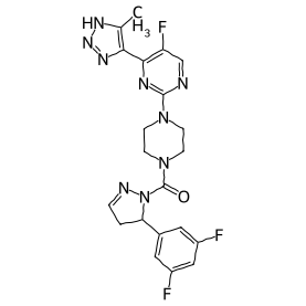 Cc1[nH]nnc1-c1nc(N2CCN(C(=O)N3N=CCC3c3cc(F)cc(F)c3)CC2)ncc1F